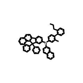 CCCc1ccccc1-c1ccc(N(c2ccc3c(c2)C(c2ccccc2)(c2ccccc2)c2c-3ccc3ccccc23)c2ccc3ccccc3c2)cc1C